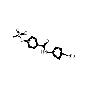 CC(C)(C)c1ccc(NC(=O)c2ccc(OS(C)(=O)=O)cc2)cc1